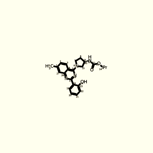 Cc1ccc2c(N3CC[C@@H](NC(=O)OC(C)C)C3)nc(-c3ccccc3O)nc2c1